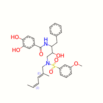 C/C=C\C=C(/C)CN(CC(O)C(Cc1ccccc1)NC(=O)c1ccc(O)c(O)c1)S(=O)(=O)c1cccc(OC)c1